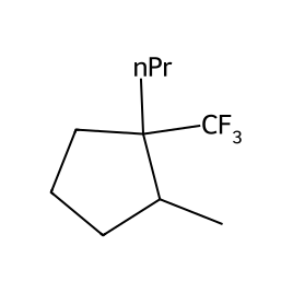 CCCC1(C(F)(F)F)CCCC1C